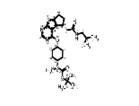 CC(C)CNC(=O)C[C@H]1CCc2sc3ncnc(O[C@H]4CC[C@H](N(C)C(=O)OC(C)(C)C)CC4)c3c21